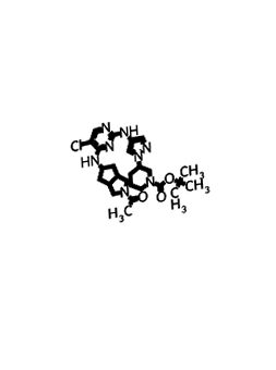 CC(=O)N1CC2CC(Nc3nc(Nc4cnn(C5CCCN(C(=O)OC(C)(C)C)C5)c4)ncc3Cl)CC2C1